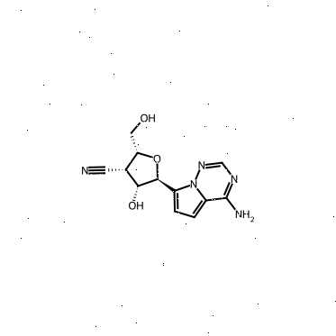 N#C[C@H]1[C@@H](O)[C@H](c2ccc3c(N)ncnn23)O[C@H]1CO